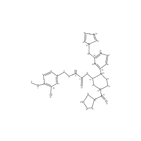 COc1ccc(CCNC(=O)CC2CN(C(=O)C3CCOC3)CCN2c2ccnc(Cn3ccnc3)n2)cc1Cl